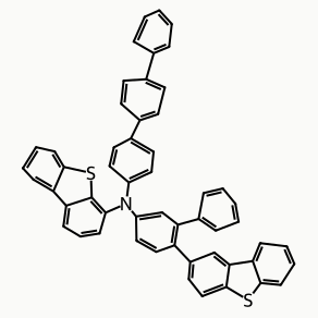 c1ccc(-c2ccc(-c3ccc(N(c4ccc(-c5ccc6sc7ccccc7c6c5)c(-c5ccccc5)c4)c4cccc5c4sc4ccccc45)cc3)cc2)cc1